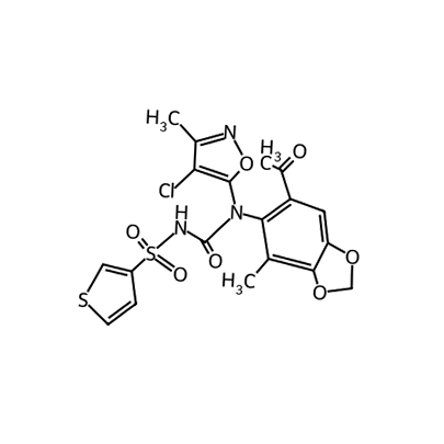 CC(=O)c1cc2c(c(C)c1N(C(=O)NS(=O)(=O)c1ccsc1)c1onc(C)c1Cl)OCO2